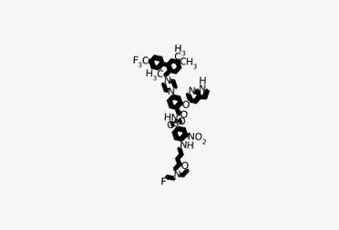 Cc1cc(C(F)(F)F)ccc1C1=C(CN2CCN(c3ccc(C(=O)NS(=O)(=O)c4ccc(NCCCC5CN(CCF)CCO5)c([N+](=O)[O-])c4)c(Oc4cnc5[nH]ccc5c4)c3)CC2)CCC(C)(C)C1